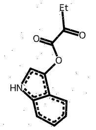 CCC(=O)C(=O)Oc1c[nH]c2ccccc12